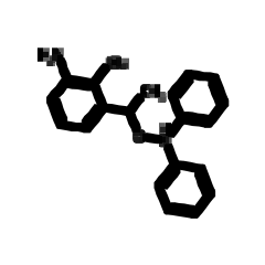 CC(O[SiH](c1ccccc1)c1ccccc1)c1cccc(N)c1C(C)(C)C